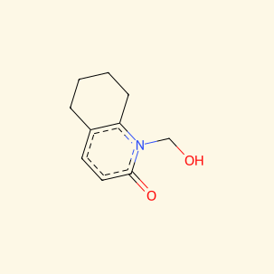 O=c1ccc2c(n1CO)CCCC2